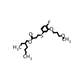 CCCCC(CC)COC(=O)CCSc1ccc(F)c(OCCCOC)c1